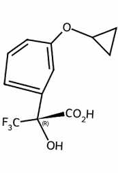 O=C(O)[C@](O)(c1cccc(OC2CC2)c1)C(F)(F)F